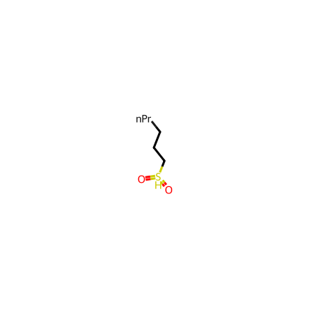 C[CH]CCCC[SH](=O)=O